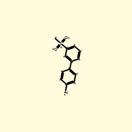 CC(=O)c1ccc(-c2cccc(S(C)(=O)=O)c2)cc1